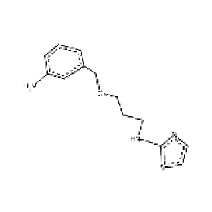 Nc1cccc(COCCCNc2nccs2)c1